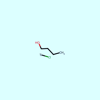 CCCCO.[Cl][Ti]